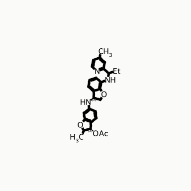 CCC(Nc1cccc2c1OC[C@H]2Nc1ccc2c(c1)OC(C)[C@H]2OC(C)=O)c1cc(C)ccn1